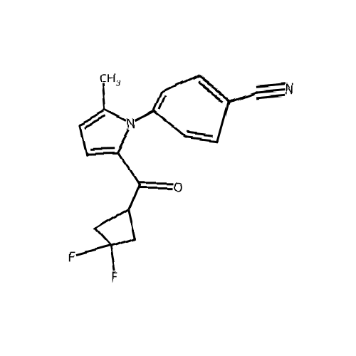 Cc1ccc(C(=O)C2CC(F)(F)C2)n1-c1ccc(C#N)cc1